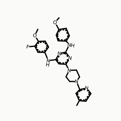 COc1ccc(Nc2nc(Nc3ccc(OC)c(F)c3)cc(N3CCN(c4cc(C)ccn4)CC3)n2)cc1